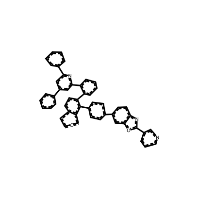 c1ccc(-c2cc(-c3ccccc3)nc(-c3ccccc3-c3ccc4ccccc4c3-c3ccc(-c4ccc5nc(-c6cccnc6)oc5c4)cc3)c2)cc1